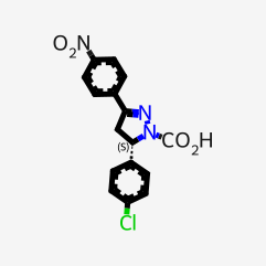 O=C(O)N1N=C(c2ccc([N+](=O)[O-])cc2)C[C@H]1c1ccc(Cl)cc1